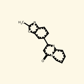 Cc1nc2ccc(-c3cc(=O)n4ccccc4n3)cc2o1